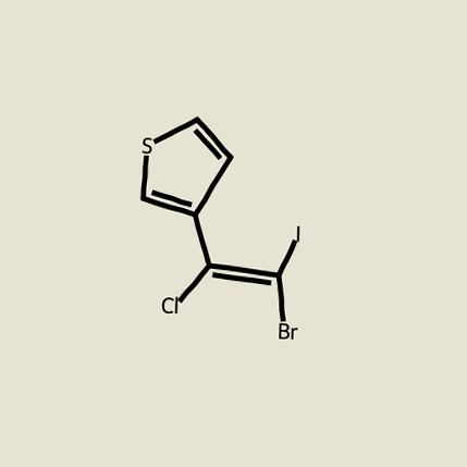 Cl/C(=C(\Br)I)c1ccsc1